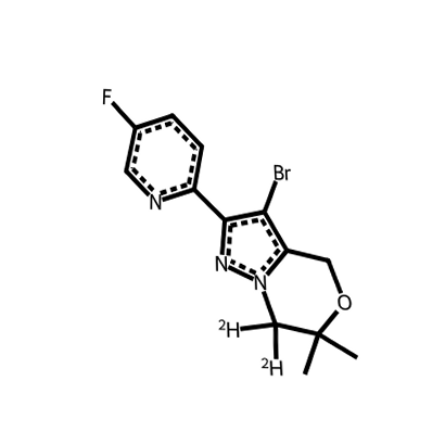 [2H]C1([2H])n2nc(-c3ccc(F)cn3)c(Br)c2COC1(C)C